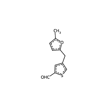 Cc1ccc(Cc2csc(C=O)c2)o1